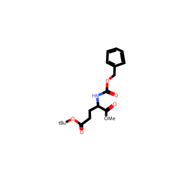 COC(=O)C(CCC(=O)OC(C)(C)C)NC(=O)OCc1ccccc1